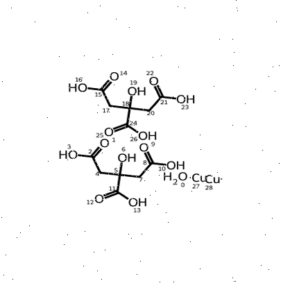 O.O=C(O)CC(O)(CC(=O)O)C(=O)O.O=C(O)CC(O)(CC(=O)O)C(=O)O.[Cu].[Cu]